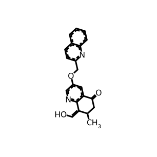 CC1CC(=O)c2cc(OCc3ccc4ccccc4n3)cnc2C1=CO